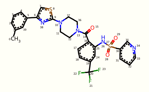 Cc1cccc(-c2csc(N3CCN(C(=O)c4ccc(C(F)(F)F)cc4NS(=O)(=O)c4cccnc4)CC3)n2)c1